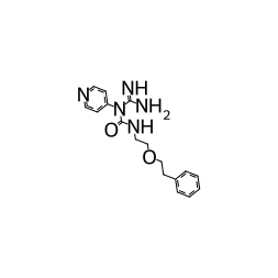 N=C(N)N(C(=O)NCCOCCc1ccccc1)c1ccncc1